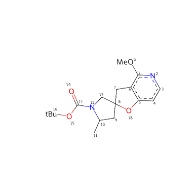 COc1nccc2c1CC1(CC(C)N(C(=O)OC(C)(C)C)C1)O2